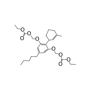 CCCCCc1cc(OCOC(=O)OCC)c(C2C=C(C)CCC2)c(OCOC(=O)OCC)c1